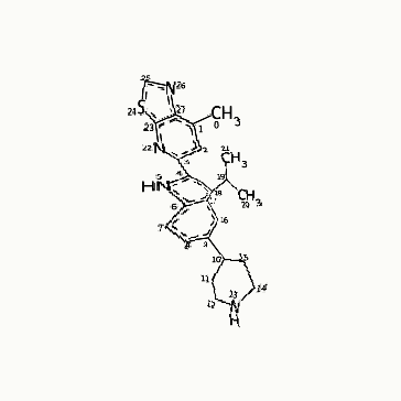 Cc1cc(-c2[nH]c3ccc(C4CCNCC4)cc3c2C(C)C)nc2scnc12